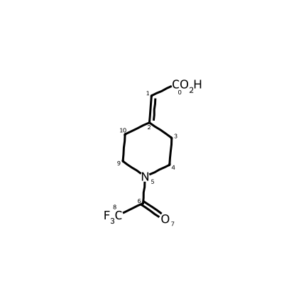 O=C(O)C=C1CCN(C(=O)C(F)(F)F)CC1